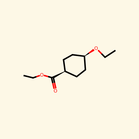 CCOC(=O)[C@H]1CC[C@@H](OCC)CC1